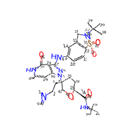 C=NCC[C@@]1(n2nc(Nc3ccc4c(c3)CN(C(C)(C)C)S4(=O)=O)c3c(=O)[nH]ccc32)CC[C@@H](C(=O)NC(C)(C)C)OC1